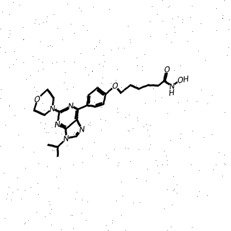 CC(C)n1cnc2c(-c3ccc(OCCCCCC(=O)NO)cc3)nc(N3CCOCC3)nc21